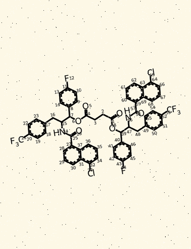 O=C(CCC(=O)OC(c1ccc(F)cc1)C(Cc1ccc(C(F)(F)F)cc1)NC(=O)c1cccc2c(Cl)cccc12)OC(c1ccc(F)cc1)C(Cc1ccc(C(F)(F)F)cc1)NC(=O)c1cccc2c(Cl)cccc12